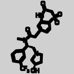 CN(C(=O)Cc1ccc2c(c1)NC(=O)CS2(=O)=O)[C@H](CN1CC[C@H](O)C1)c1cccc(C(F)(F)F)c1